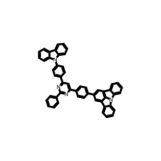 c1ccc(-c2nc(-c3ccc(-c4cc5c6ccccc6n6c7ccccc7c(c4)c56)cc3)cc(-c3ccc(-n4c5ccccc5c5ccccc54)cc3)n2)cc1